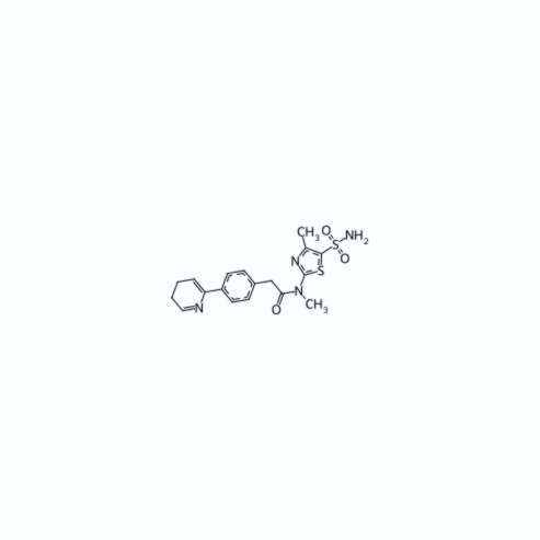 Cc1nc(N(C)C(=O)Cc2ccc(C3=CCCC=N3)cc2)sc1S(N)(=O)=O